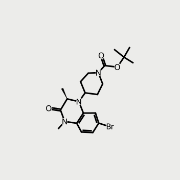 C[C@@H]1C(=O)N(C)c2ccc(Br)cc2N1C1CCN(C(=O)OC(C)(C)C)CC1